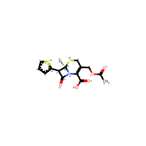 CC(=O)OCC1=C(C(=O)O)N2C(=O)C(c3cccs3)[C@H]2SC1